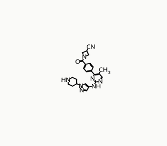 Cc1cnc(Nc2cnn(C3CCNCC3)c2)nc1-c1ccc(C(=O)N2CC(C#N)C2)cc1